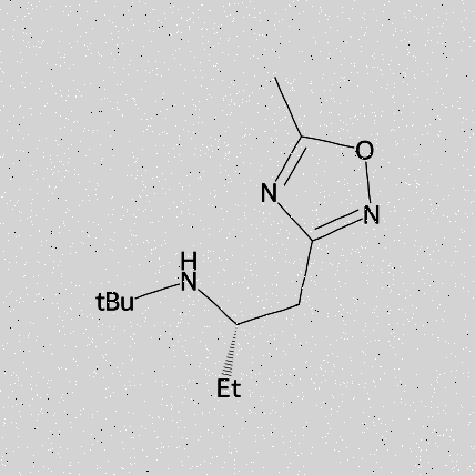 CC[C@@H](Cc1noc(C)n1)NC(C)(C)C